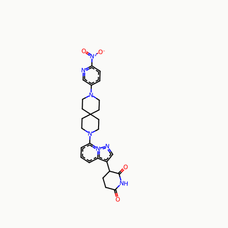 O=C1CCC(c2cnn3c(N4CCC5(CCN(c6ccc([N+](=O)[O-])nc6)CC5)CC4)cccc23)C(=O)N1